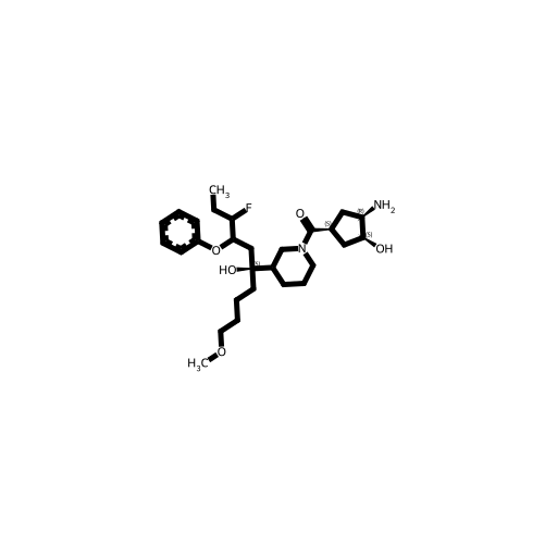 CCC(F)C(C[C@@](O)(CCCCOC)C1CCCN(C(=O)[C@H]2C[C@@H](N)[C@@H](O)C2)C1)Oc1ccccc1